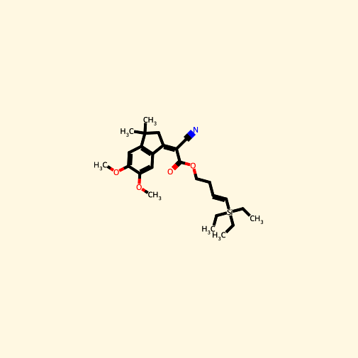 CC[Si](C=CCCOC(=O)C(C#N)=C1CC(C)(C)c2cc(OC)c(OC)cc21)(CC)CC